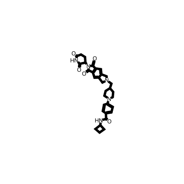 O=C1CCC(N2C(=O)c3cc4c(cc3C2=O)CN(CC2CCN(c3ccc(C(=O)NC5CCC5)cc3)CC2)C4)C(=O)N1